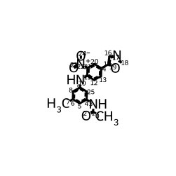 CC(=O)Nc1cc(C)cc(Nc2ccc(-c3cnco3)cc2[N+](=O)[O-])c1